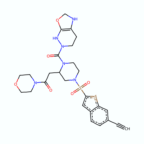 C#Cc1ccc2cc(S(=O)(=O)N3CCN(C(=O)N4CCC5=C(N4)OCN5)C(CC(=O)N4CCOCC4)C3)sc2c1